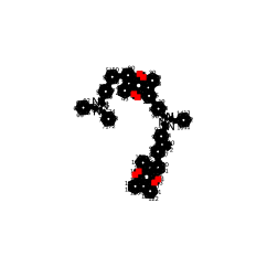 CC1(C)c2cc(-c3nc(-c4ccccc4)nc(-c4ccc(-c5ccc6c(c5)-c5ccccc5C65c6ccccc6C6(c7ccccc7-c7c(-c8cccc(-c9ccc(-c%10nc(-c%11ccccc%11)nc(-c%11ccccc%11)n%10)cc9)c8)cccc76)c6ccccc65)cc4)n3)ccc2-c2ccc(-c3cccc4c3-c3ccccc3C43c4ccccc4C4(c5ccccc5-c5ccccc54)c4ccccc43)cc21